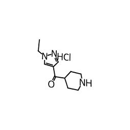 CCn1cc(C(=O)C2CCNCC2)cn1.Cl